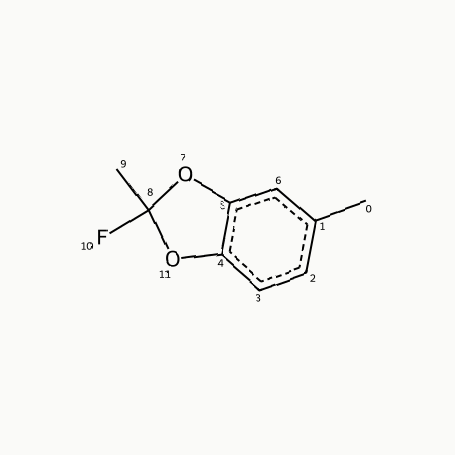 Cc1ccc2c(c1)OC(C)(F)O2